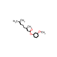 COc1cccc(OC(=O)/C=C(\C)CCC=C(C)C)c1